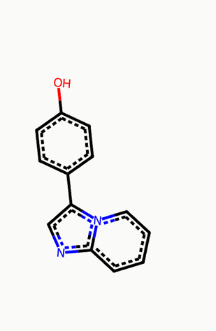 Oc1ccc(-c2cnc3ccccn23)cc1